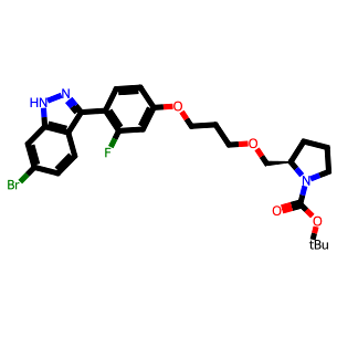 CC(C)(C)OC(=O)N1CCC[C@@H]1COCCCOc1ccc(-c2n[nH]c3cc(Br)ccc23)c(F)c1